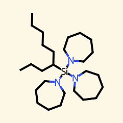 CCCCCC(CCC)[Si](N1CCCCCC1)(N1CCCCCC1)N1CCCCCC1